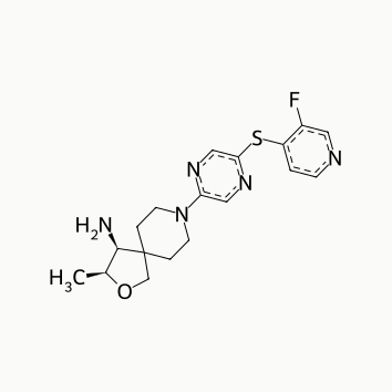 C[C@@H]1OCC2(CCN(c3cnc(Sc4ccncc4F)cn3)CC2)[C@@H]1N